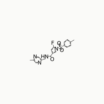 Cc1ccc(S(=O)(=O)n2cc(C(=O)NCc3cnc(C)cn3)cc2F)cc1